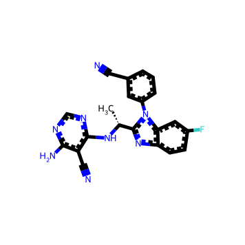 C[C@@H](Nc1ncnc(N)c1C#N)c1nc2ccc(F)cc2n1-c1cccc(C#N)c1